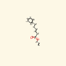 C=CCOC(=O)CC=CC=Cc1ccccc1